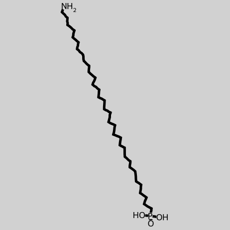 NCCCCCCCCCCCCCCCCCCCCCCCCCCCCCCCCCCP(=O)(O)O